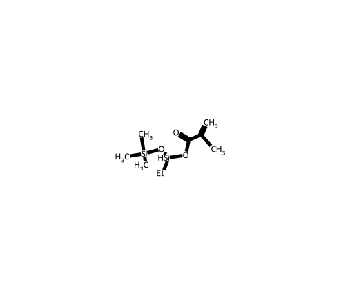 C=C(C)C(=O)O[SiH](CC)O[Si](C)(C)C